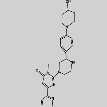 Cn1c(N2CCN[C@@H](c3ccc(N4CCC(O)CC4)cc3)C2)nc(-c2ccncn2)cc1=O